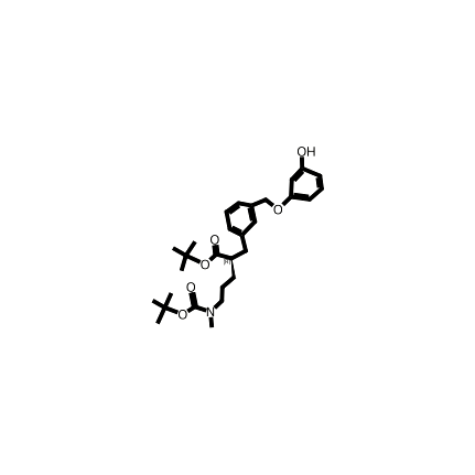 CN(CCC[C@H](Cc1cccc(COc2cccc(O)c2)c1)C(=O)OC(C)(C)C)C(=O)OC(C)(C)C